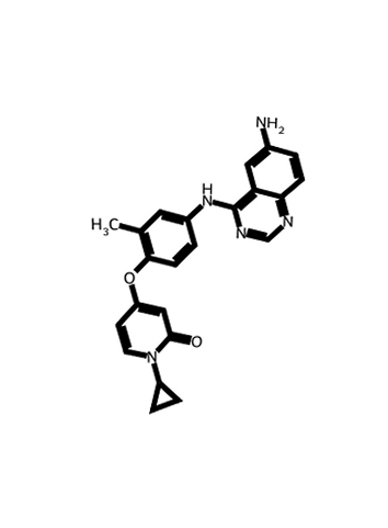 Cc1cc(Nc2ncnc3ccc(N)cc23)ccc1Oc1ccn(C2CC2)c(=O)c1